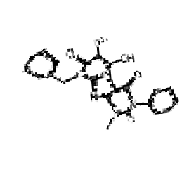 CCCc1c(O)n2c3c(=O)n(-c4ccccc4)c(=O)n(C)c3nc2n(Cc2ccccc2)c1=O